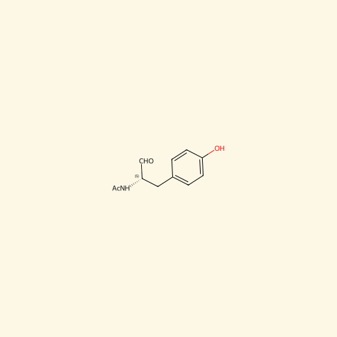 CC(=O)N[C@H](C=O)Cc1ccc(O)cc1